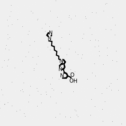 O=C(O)c1ccnc(-c2cc3ccn(CCCCCCCCCn4ccnc4)c3cn2)c1